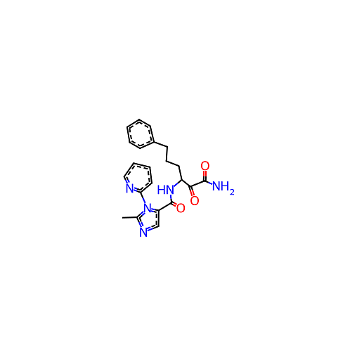 Cc1ncc(C(=O)NC(CCCc2ccccc2)C(=O)C(N)=O)n1-c1ccccn1